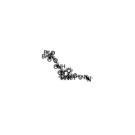 [N-]=[N+]=NCCOCCOCCN1NNC2=C1c1ccccc1CN(C(=O)CCNC(=O)CCOCCN1C(=O)C(Br)=C(Br)C1=O)c1ccccc12